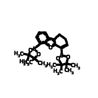 CC1(C)OB(C2=CCCc3c2oc2c(B4OC(C)(C)C(C)(C)O4)cccc32)OC1(C)C